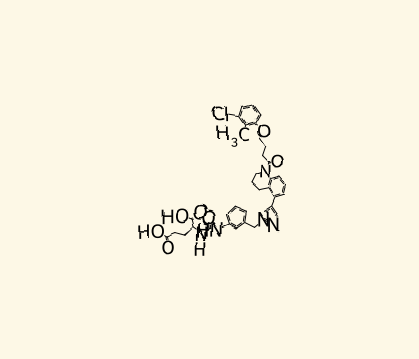 Cc1c(Cl)cccc1OCCCC(=O)N1CCCc2c(-c3cnn(Cc4cccc(NC(=O)N[C@@H](CCC(=O)O)C(=O)O)c4)c3)cccc21